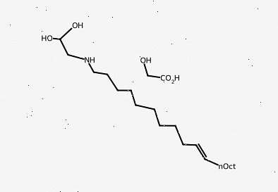 CCCCCCCCC=CCCCCCCCCCNCC(O)O.O=C(O)CO